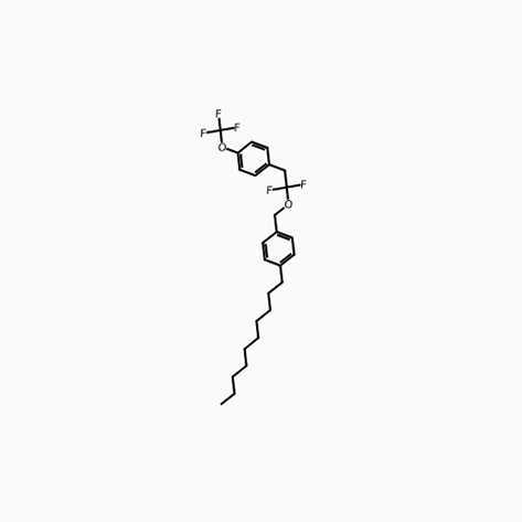 CCCCCCCCCCc1ccc(COC(F)(F)Cc2ccc(OC(F)(F)F)cc2)cc1